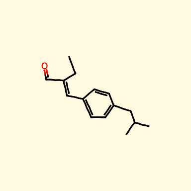 CC/C(C=O)=C\c1ccc(CC(C)C)cc1